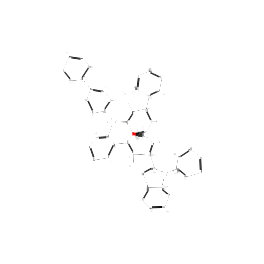 c1ccc(-c2ccc(N(c3ccccc3-c3cccc4c3oc3c5ccccc5n(-c5ccccc5)c43)c3cccc4c3oc3ccccc34)cc2)cc1